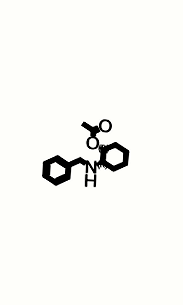 CC(=O)O[C@@H]1CCCC[C@H]1NCc1ccccc1